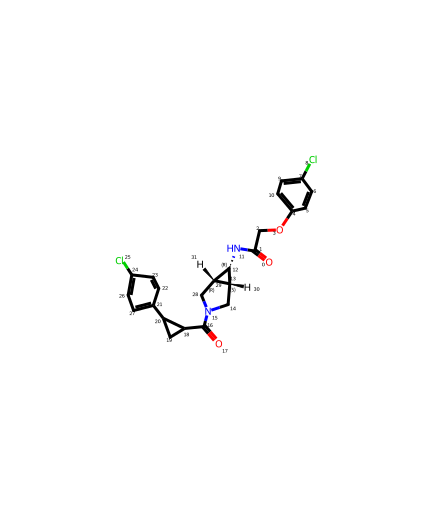 O=C(COc1ccc(Cl)cc1)N[C@@H]1[C@@H]2CN(C(=O)C3CC3c3ccc(Cl)cc3)C[C@@H]21